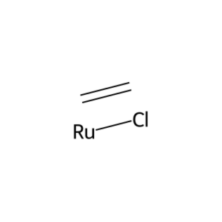 C=C.[Cl][Ru]